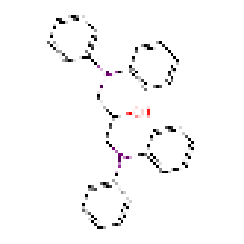 OC(CP(c1ccccc1)c1ccccc1)CP(c1ccccc1)c1ccccc1